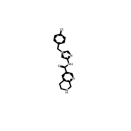 O=C(Nc1cn(Cc2ccc(Cl)cc2)cn1)c1cnc2c(c1)CCNC2